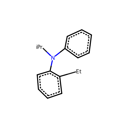 CCc1ccccc1N(c1ccccc1)C(C)C